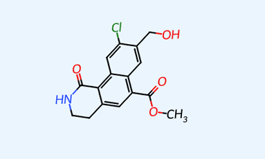 COC(=O)c1cc2c(c3cc(Cl)c(CO)cc13)C(=O)NCC2